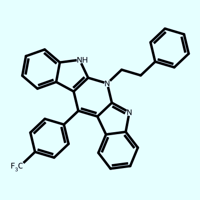 FC(F)(F)c1ccc(-c2c3c4ccccc4nc-3n(CCc3ccccc3)c3[nH]c4ccccc4c23)cc1